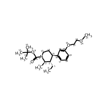 CC[C@@H]1[C@@H](C)N(C(=O)OC(C)(C)C)CC[C@H]1c1cccc(OCCOC)c1